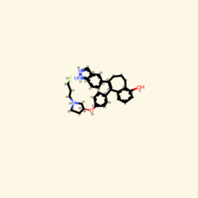 Oc1cccc2c1CCCC(c1ccc3[nH]ncc3c1)=C2c1ccc(O[C@H]2CCN(CCCF)C2)cc1